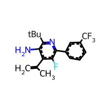 C=C(C)c1c(N)c(C(C)(C)C)nc(-c2cccc(C(F)(F)F)c2)c1F